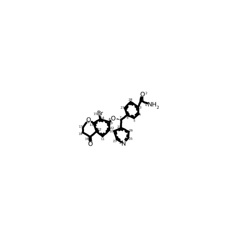 NC(=O)c1ccc([C@@H](Oc2ccc3c(c2Br)OCCC3=O)c2ccncc2)cc1